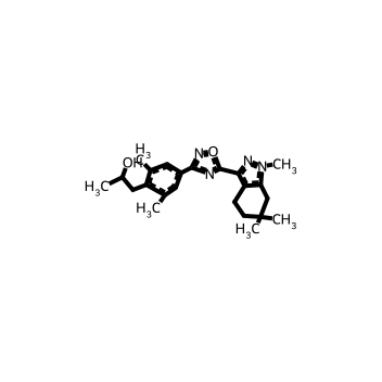 Cc1cc(-c2noc(-c3nn(C)c4c3CCC(C)(C)C4)n2)cc(C)c1CC(C)O